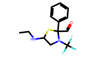 CCNC1CN(C(F)(F)F)C(C=O)(c2ccccc2)S1